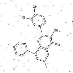 Cc1cc(-c2ccncc2)c2oc(-c3ccc(O)c(Cl)c3)c(O)c(=O)c2c1